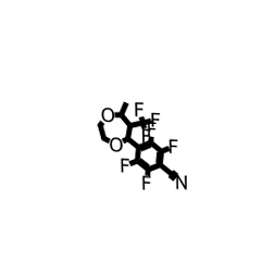 CC1OCCOC(c2c(F)c(F)c(C#N)c(F)c2F)C1C(F)(F)F